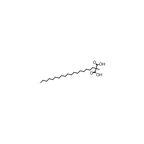 [CH2]CCCCCCCCCCCCCCCCCC(C)(C(=O)O)C(=O)O